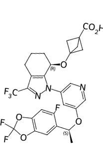 C[C@H](Oc1cncc(-n2nc(C(F)(F)F)c3c2[C@H](OC24CC(C(=O)O)(C2)C4)CCC3)c1)c1cc2c(cc1F)OC(F)(F)O2